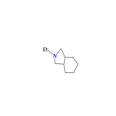 [CH2]CN1CC2CCCCC2C1